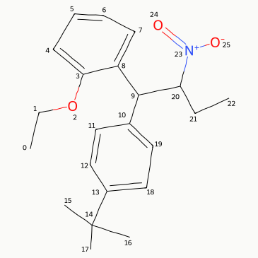 CCOc1ccccc1C(c1ccc(C(C)(C)C)cc1)C(CC)[N+](=O)[O-]